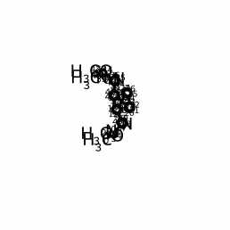 CC1(C)COC(c2cncc(-c3ccc4c(c3)C3(c5ccccc5-c5ccccc53)c3cc(-c5cncc(C6=NC(C)(C)CO6)c5)ccc3-4)c2)=N1